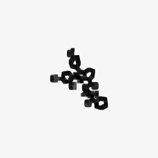 COc1ccc(-c2c3c(nn2-c2ccc(Cl)cc2Cl)C(C(=O)ON(C)NC(=O)c2ccccc2)CCC3)cc1